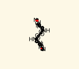 O=C(/C=C/C(=O)Oc1c[nH]c2ccc(-c3ccc(O[C@H]4CN5CCC4CC5)nn3)cc12)Oc1c[nH]c2ccc(-c3ccc(O[C@H]4CN5CCC4CC5)nn3)cc12